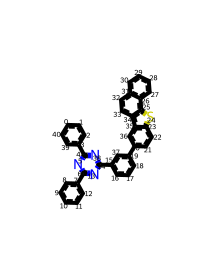 c1ccc(-c2nc(-c3ccccc3)nc(-c3cccc(-c4ccc5sc6c7ccccc7ccc6c5c4)c3)n2)cc1